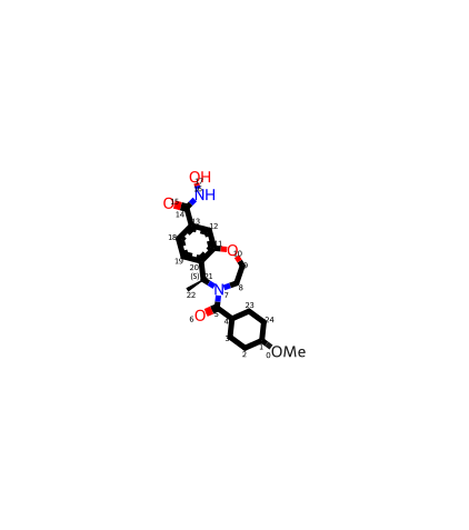 COC1CCC(C(=O)N2CCOc3cc(C(=O)NO)ccc3[C@@H]2C)CC1